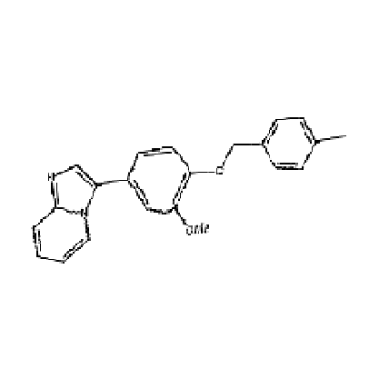 COc1cc(-c2cnc3ccccn23)ccc1OCc1ccc(C)cc1